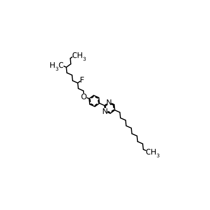 CCCCCCCCCCCc1cnc(-c2ccc(OCCC(F)CCCC(C)CCC)cc2)nc1